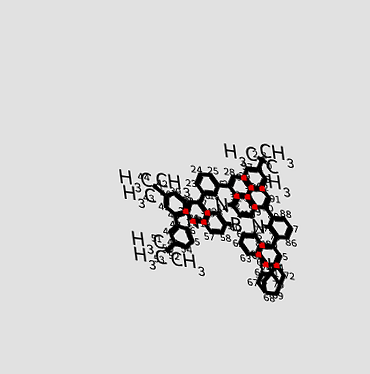 CC(C)(C)c1ccc(-c2cc3c4c(c2)N(c2c(-c5ccccc5)cccc2-c2ccccc2)c2cc(-n5c6ccc(C(C)(C)C)cc6c6cc(C(C)(C)C)ccc65)ccc2B4c2ccc(N4C5CC6CC(C5)CC4C6)cc2N3c2c(-c3ccccc3)cccc2-c2ccccc2)cc1